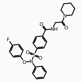 O=C(NCC(=O)N1CCCCC1)c1ccc(S(=O)(=O)N(Oc2ccc(F)cc2)c2ccccc2)cc1